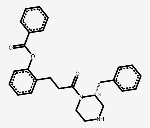 O=C(Oc1ccccc1CCC(=O)N1CCNC[C@H]1Cc1ccccc1)c1ccccc1